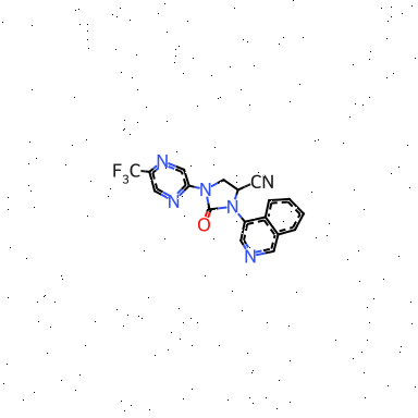 N#CC1CN(c2cnc(C(F)(F)F)cn2)C(=O)N1c1cncc2ccccc12